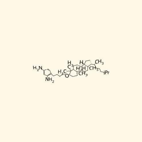 CC(C)CCC[C@@H](C)[C@H]1CC[C@H]2[C@@H]3CCC4C(C)(C)C(OCCCCc5ccc(N)cc5N)CC[C@]4(C)[C@H]3CC[C@]12C